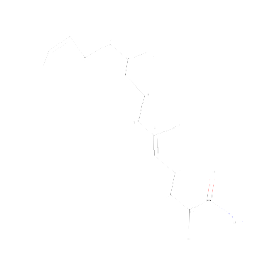 C/C=C\CCC(C)CCC/C(C)=C/CCC(C)C(N)=O